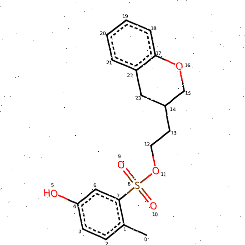 Cc1ccc(O)cc1S(=O)(=O)OCCC1COc2ccccc2C1